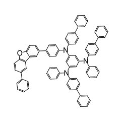 c1ccc(-c2ccc(N(c3ccccc3)c3cc(N(c4ccccc4)c4ccc(-c5ccccc5)cc4)cc(N(c4ccc(-c5ccccc5)cc4)c4ccc(-c5ccc6oc7ccc(-c8ccccc8)cc7c6c5)cc4)c3)cc2)cc1